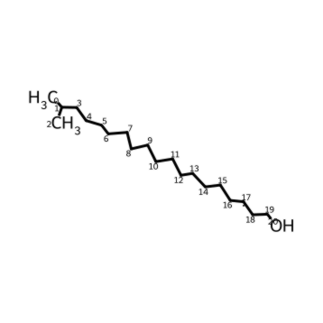 CC(C)CCCCCCCCCCCCCC[CH]CCO